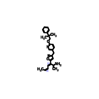 C=C(N)/C(=C\C=C/C)c1cc(Cc2ccc(OCC(C)(C)c3ccccc3)nc2)no1